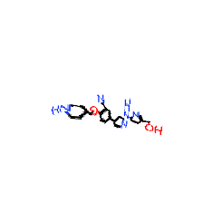 N#Cc1cc(-c2ccnc(Nc3ccc(CO)cn3)c2)ccc1OCC1CCNCC1